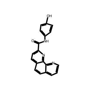 O=C(Nc1ccc(O)cc1)c1ccc2ccc3cccnc3c2n1